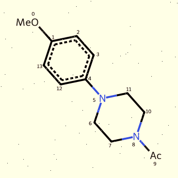 [CH2]Oc1ccc(N2CCN(C(C)=O)CC2)cc1